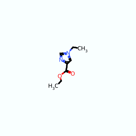 CCOC(=O)c1cn(CC)cn1